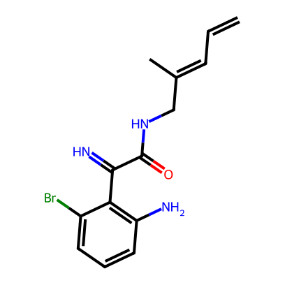 C=C/C=C(\C)CNC(=O)C(=N)c1c(N)cccc1Br